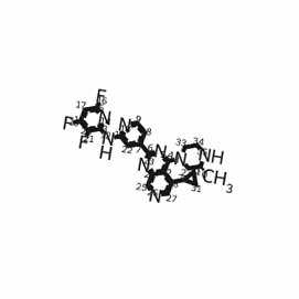 C[C@H]1CN(c2nc(-c3ccnc(Nc4nc(F)cc(F)c4F)c3)nc3cncc(C4CC4)c23)CCN1